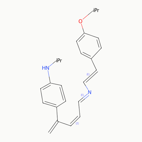 C=C(\C=C/C=N/C=C/c1ccc(OC(C)C)cc1)c1ccc(NC(C)C)cc1